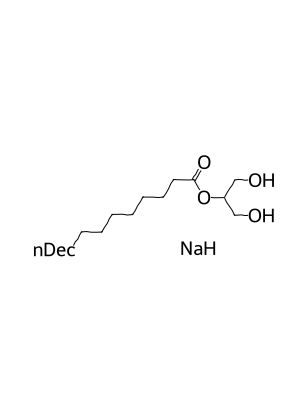 CCCCCCCCCCCCCCCCCC(=O)OC(CO)CO.[NaH]